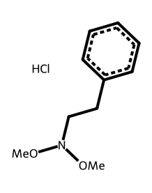 CON(CCc1ccccc1)OC.Cl